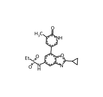 CCS(=O)(=O)Nc1cc(-c2c[nH]c(=O)c(C)c2)c2oc(C3CC3)nc2c1